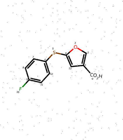 O=C(O)c1coc(Sc2ccc(F)cc2)c1